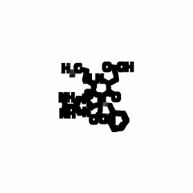 CCCCC(=O)N(C(=O)[C@@H](N)CC(=O)O)[C@@](Cc1ccccc1)(C(=O)O)c1ncc(C(=N)N)cn1